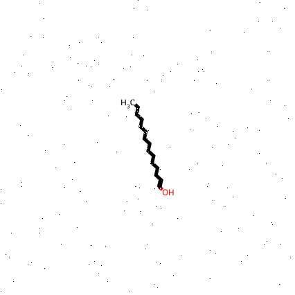 CCCCCCCCCCCCCC=CO